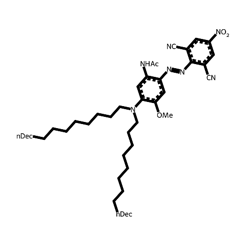 CCCCCCCCCCCCCCCCCCN(CCCCCCCCCCCCCCCCCC)c1cc(NC(C)=O)c(/N=N/c2c(C#N)cc([N+](=O)[O-])cc2C#N)cc1OC